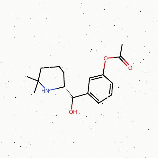 CC(=O)Oc1cccc(C(O)[C@H]2CCCC(C)(C)N2)c1